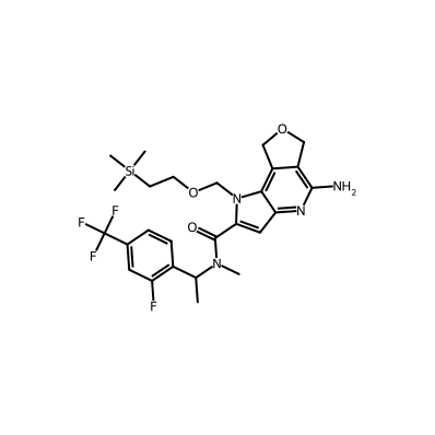 CC(c1ccc(C(F)(F)F)cc1F)N(C)C(=O)c1cc2nc(N)c3c(c2n1COCC[Si](C)(C)C)COC3